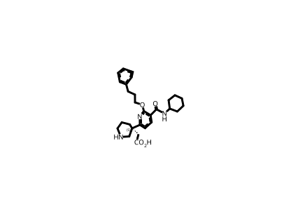 O=C(O)C[C@@]1(c2ccc(C(=O)NC3CCCCC3)c(OCCCc3ccccc3)n2)CCCNC1